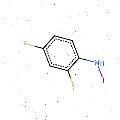 Fc1ccc(NI)c(F)c1